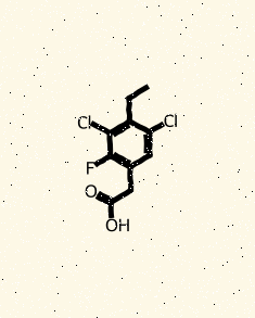 CCc1c(Cl)cc(CC(=O)O)c(F)c1Cl